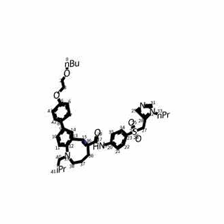 CCCCOCCOc1ccc(-c2ccc3c(c2)/C=C(/C(=O)Nc2ccc(S(=O)(=O)Cc4cncn4CCC)cc2)CCCN3CC(C)C)cc1